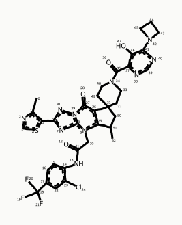 Cc1ncsc1-c1nc2n(CC(=O)Nc3ccc(C(F)(F)F)cc3Cl)c3c(c(=O)n2n1)C1(CCN(C(=O)c2ncnc(N4CCC4)c2O)CC1)CC3C